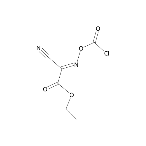 CCOC(=O)C(C#N)=NOC(=O)Cl